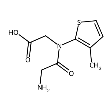 Cc1ccsc1N(CC(=O)O)C(=O)CN